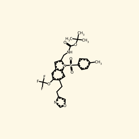 Cc1ccc(S(=O)(=O)n2c(CNC(=O)OC(C)(C)C)cc3cc(OC(F)(F)F)c(CCc4cocn4)cc32)cc1